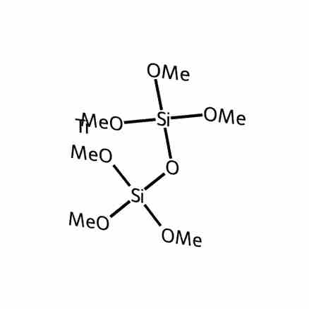 CO[Si](OC)(OC)O[Si](OC)(OC)OC.[Ti]